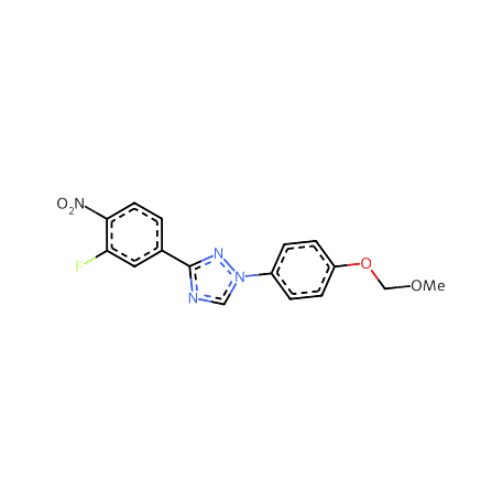 COCOc1ccc(-n2cnc(-c3ccc([N+](=O)[O-])c(F)c3)n2)cc1